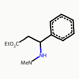 CCOC(=O)CC(NNC)c1ccccc1